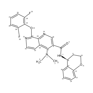 CN(C)c1c(C(=O)N[C@H]2CCOc3ccccc32)cnc2c(Oc3c(F)cccc3F)nccc12